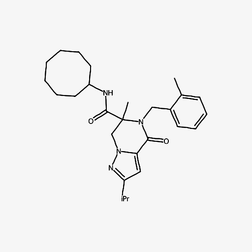 Cc1ccccc1CN1C(=O)c2cc(C(C)C)nn2CC1(C)C(=O)NC1CCCCCCC1